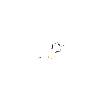 CCOP(=S)(Cl)Oc1ccc(C)c(C)c1